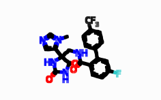 Cn1cncc1C1(CNC(=O)c2ccc(F)cc2-c2ccc(C(F)(F)F)cc2)NC(=O)NC1=O